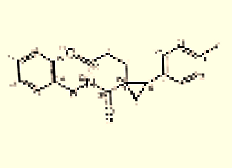 Cc1ccc(C2C[C@@]23CCC(=O)N(Cc2ccccc2)C3=O)cc1